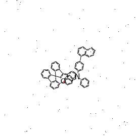 c1ccc(N(c2ccc(-c3cccc4c3C3(c5ccccc5-4)c4ccccc4-c4c3oc3ccccc43)cc2)c2ccc(-c3cccc4ccccc34)cc2)cc1